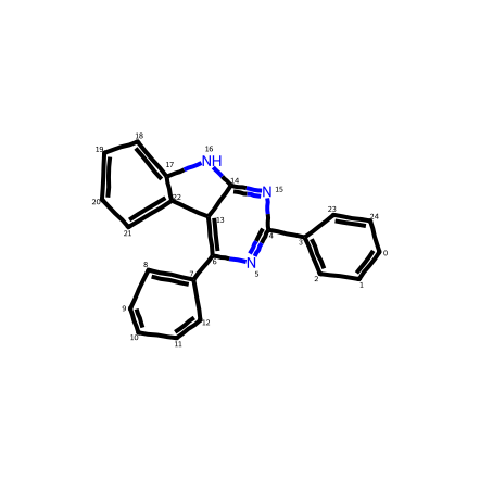 c1ccc(-c2nc(-c3ccccc3)c3c(n2)[nH]c2ccccc23)cc1